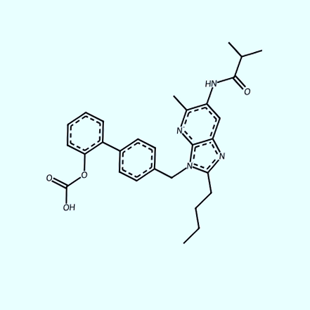 CCCCc1nc2cc(NC(=O)C(C)C)c(C)nc2n1Cc1ccc(-c2ccccc2OC(=O)O)cc1